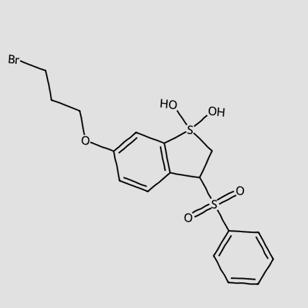 O=S(=O)(c1ccccc1)C1CS(O)(O)c2cc(OCCCBr)ccc21